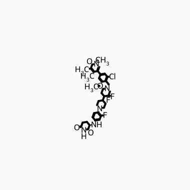 COc1cc(-c2cn(C)c(=O)c(C)c2C)cc(Cl)c1CN1CCC(C2CCN(c3ccc(N[C@@H]4CCC(=O)NC4=O)cc3F)CC2)C(F)(F)C1